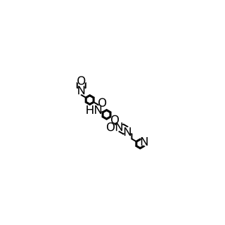 O=C(Nc1ccc(OC(=O)N2CCN(CCc3cccnc3)CC2)cc1)c1ccc(CN2CCOCC2)cc1